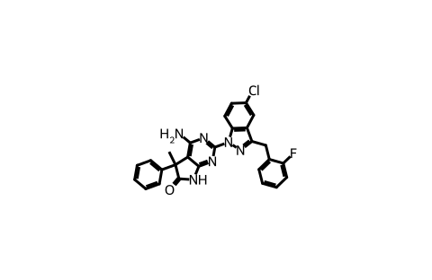 CC1(c2ccccc2)C(=O)Nc2nc(-n3nc(Cc4ccccc4F)c4cc(Cl)ccc43)nc(N)c21